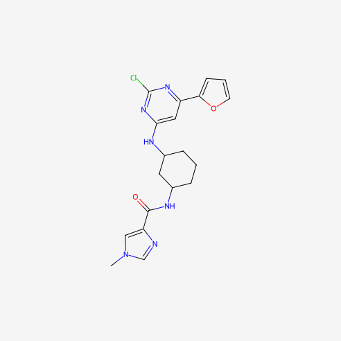 Cn1cnc(C(=O)NC2CCCC(Nc3cc(-c4ccco4)nc(Cl)n3)C2)c1